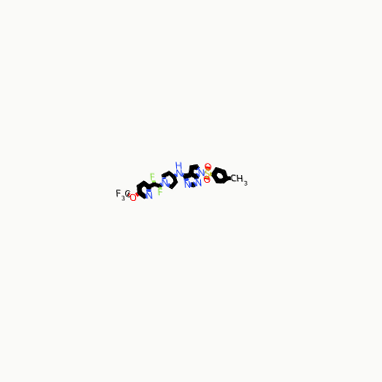 Cc1ccc(S(=O)(=O)n2ccc3c(NC4CCN(C(F)C(F)c5ccc(OC(F)(F)F)cn5)CC4)ncnc32)cc1